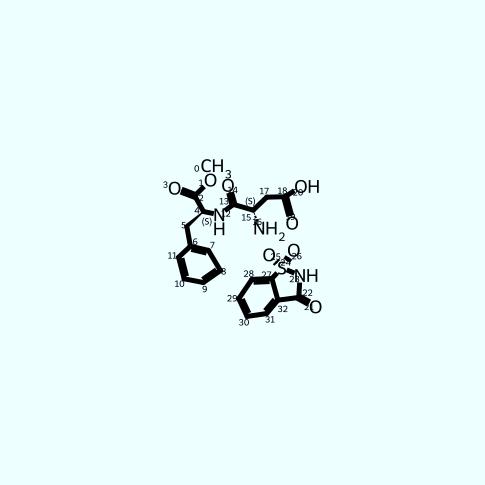 COC(=O)[C@H](Cc1ccccc1)NC(=O)[C@@H](N)CC(=O)O.O=C1NS(=O)(=O)c2ccccc21